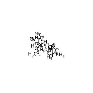 C=CC(=O)N1CC(C(C)(C)N2C(=O)C=C(C)C2=O)CC1C(C)(C)C1=CC(=O)N(C(C)C)C1=O